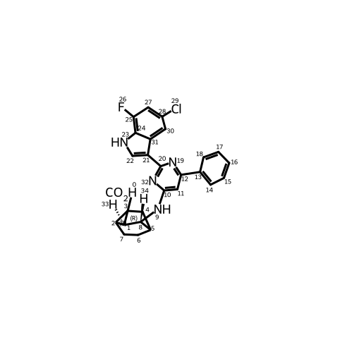 O=C(O)[C@@H]1C2CCC(CC2)[C@H]1Nc1cc(-c2ccccc2)nc(-c2c[nH]c3c(F)cc(Cl)cc23)n1